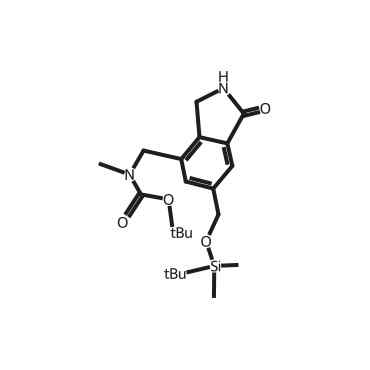 CN(Cc1cc(CO[Si](C)(C)C(C)(C)C)cc2c1CNC2=O)C(=O)OC(C)(C)C